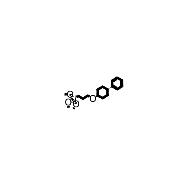 CO[Si](CCCO[C@H]1CC[C@H](c2ccccc2)CC1)(OC)OC